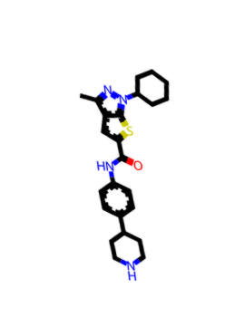 Cc1nn(C2CCCCC2)c2sc(C(=O)Nc3ccc(C4CCNCC4)cc3)cc12